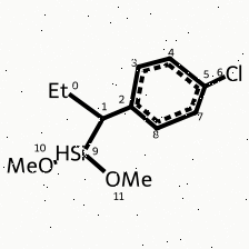 CCC(c1ccc(Cl)cc1)[SiH](OC)OC